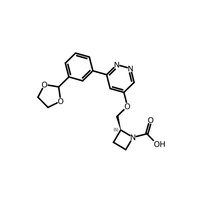 O=C(O)N1CC[C@H]1COc1cnnc(-c2cccc(C3OCCO3)c2)c1